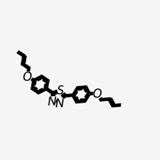 C/C=C/COc1ccc(-c2nnc(-c3ccc(OC/C=C/C)cc3)s2)cc1